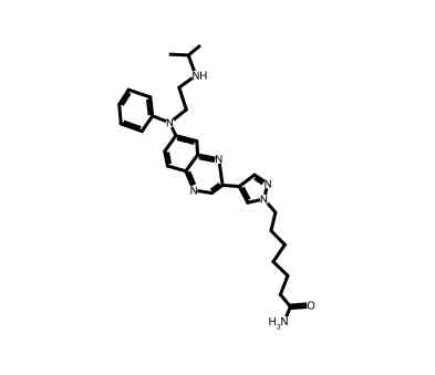 CC(C)NCCN(c1ccccc1)c1ccc2ncc(-c3cnn(CCCCCCC(N)=O)c3)nc2c1